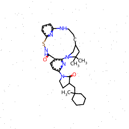 CC1(CC2CCN(c3ccc4c(n3)N3CC(CCCNc5cccc(n5)SNC4=O)CC3(C)C)C2=O)CCCCC1